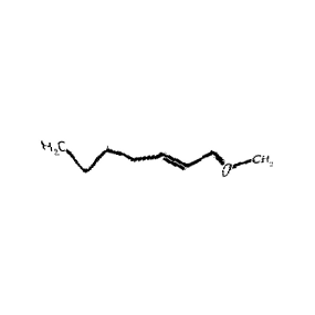 CC[CH]C/C=C/COC